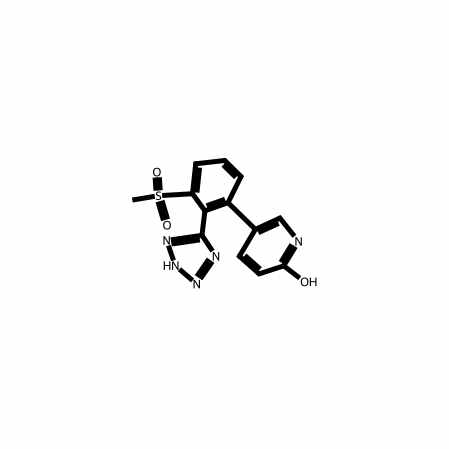 CS(=O)(=O)c1cccc(-c2ccc(O)nc2)c1-c1nn[nH]n1